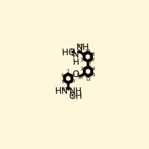 N=C(NO)c1cccc(OCc2cccc(-c3cccc(C(=N)NO)c3)c2)c1